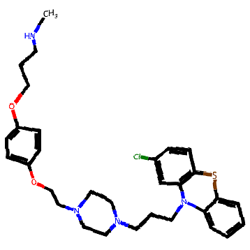 CNCCCOc1ccc(OCCN2CCN(CCCN3c4ccccc4Sc4ccc(Cl)cc43)CC2)cc1